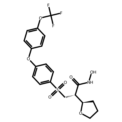 O=C(NO)[C@@H](CS(=O)(=O)c1ccc(Oc2ccc(OC(F)(F)F)cc2)cc1)[C@H]1CCCO1